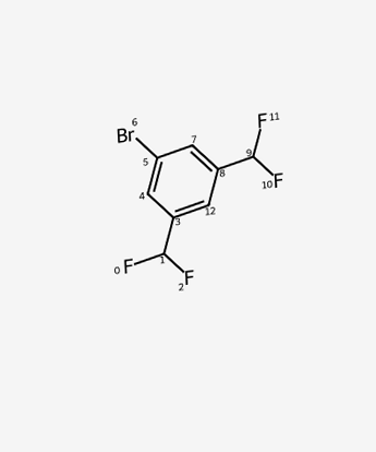 FC(F)c1cc(Br)cc(C(F)F)c1